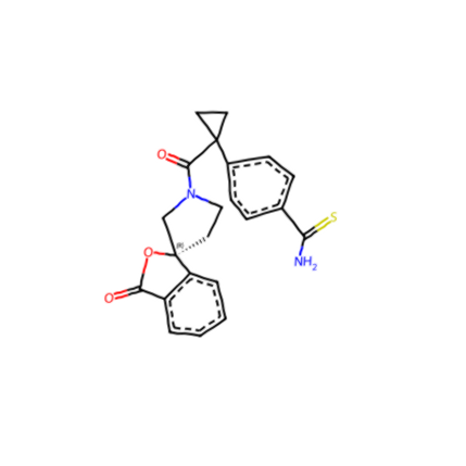 NC(=S)c1ccc(C2(C(=O)N3CC[C@@]4(C3)OC(=O)c3ccccc34)CC2)cc1